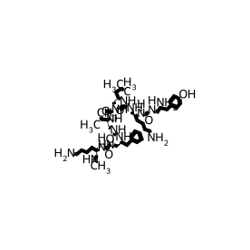 CNC[C@H](CCCCN)NC(=O)NC[C@H](Cc1ccccc1)NC(=O)NC[C@@H](NC(=O)NC[C@H](CC(C)C)NC(=O)NC[C@H](CCCCN)NC(=O)NC[C@@H](N)Cc1ccc(O)cc1)C(C)C